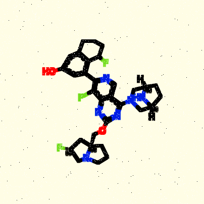 Oc1cc2c(c(-c3ncc4c(N5C[C@H]6CC[C@@H](C5)N6)nc(OC[C@@]56CCCN5C[C@H](F)C6)nc4c3F)c1)C(F)CCC2